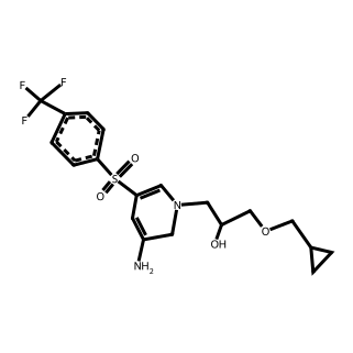 NC1=CC(S(=O)(=O)c2ccc(C(F)(F)F)cc2)=CN(CC(O)COCC2CC2)C1